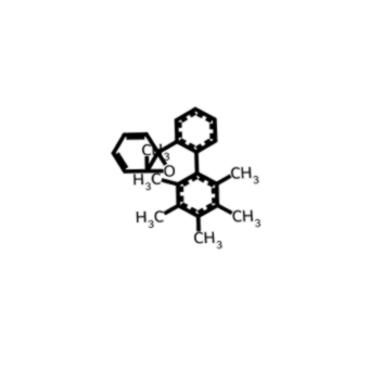 Cc1c(C)c(C)c(-c2ccccc2C23C=CC=CC2(C)O3)c(C)c1C